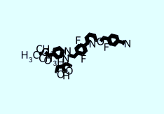 CC(C)(C)OC(=O)c1ccc2nc(Cc3cc(F)c(-c4cccc(OCc5ccc(C#N)cc5F)n4)cc3F)n(C3CO[C@H]4OCC[C@@H]34)c2c1